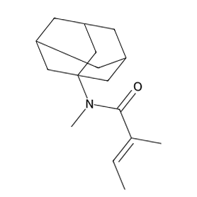 CC=C(C)C(=O)N(C)C12CC3CC(CC(C3)C1)C2